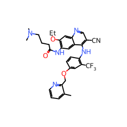 CCOc1cc2ncc(C#N)c(Nc3ccc(OCc4ncccc4C)cc3C(F)(F)F)c2cc1NC(=O)CCCN(C)C